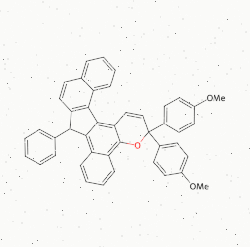 COc1ccc(C2(c3ccc(OC)cc3)C=Cc3c4c(c5ccccc5c3O2)C(c2ccccc2)c2ccc3ccccc3c2-4)cc1